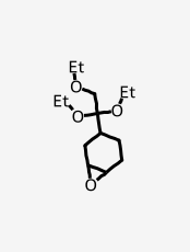 CCOCC(OCC)(OCC)C1CCC2OC2C1